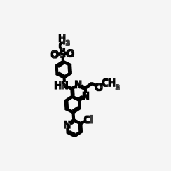 COCc1nc(Nc2ccc(S(C)(=O)=O)cc2)c2ccc(-c3ncccc3Cl)cc2n1